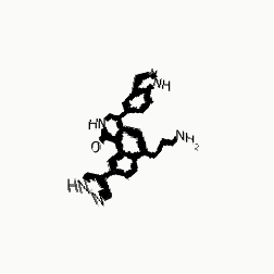 NCCCc1cc2c(-c3ccc4[nH]ncc4c3)c[nH]c(=O)c2c2cc(-c3cn[nH]c3)ccc12